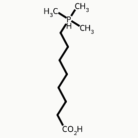 C[PH](C)(C)CCCCCCCC(=O)O